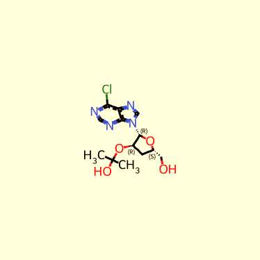 CC(C)(O)O[C@@H]1C[C@@H](CO)O[C@H]1n1cnc2c(Cl)ncnc21